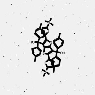 Cc1ccc(C(O)(c2ccc(C)cc2)c2c(-c3ccc(S(C)(C)C)s3)sc3c(C(O)(c4ccc(C)cc4)c4ccc(C)cc4)c(-c4ccc(S(C)(C)C)s4)sc23)cc1